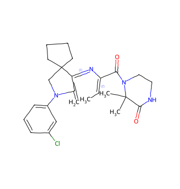 C=C1/C(=N\C(=C/C)C(=O)N2CCNC(=O)C2(C)C)C2(CCCC2)CN1c1cccc(Cl)c1